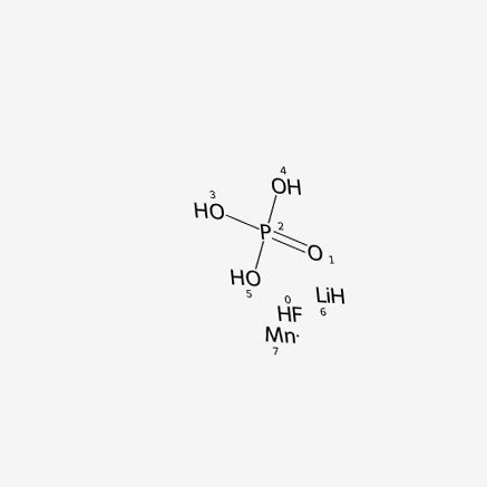 F.O=P(O)(O)O.[LiH].[Mn]